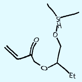 C=CC(=O)OC(CC)CO[SiH](C)C